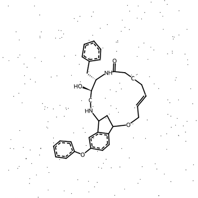 O=C1CCC/C=C/COC2CC(NC[C@@H](O)[C@H](Cc3ccccc3)N1)c1cc(Oc3ccccc3)ccc12